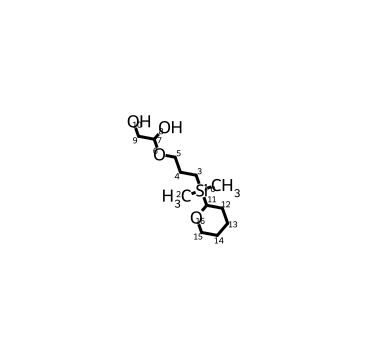 C[Si](C)(CCCOC(O)CO)C1CCCCO1